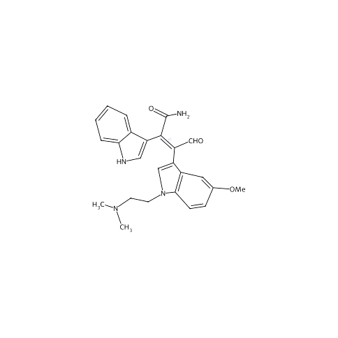 COc1ccc2c(c1)c(/C(C=O)=C(/C(N)=O)c1c[nH]c3ccccc13)cn2CCN(C)C